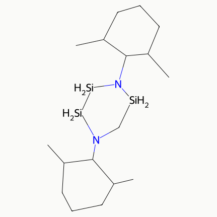 CC1CCCC(C)C1N1C[SiH2]N(C2C(C)CCCC2C)[SiH2][SiH2]1